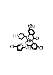 CC(C)(C)c1ccc(C(=O)Nc2cc(Cl)ccc2C(=O)Nc2ccc(Cl)cn2)c(OC2CCNCC2)c1